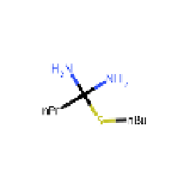 CCCCSC(N)(N)CCC